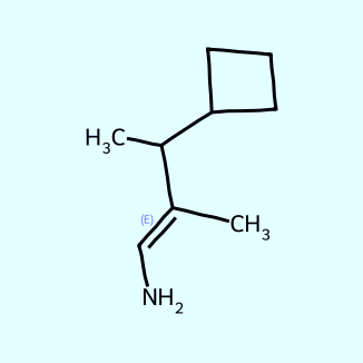 C/C(=C\N)C(C)C1CCC1